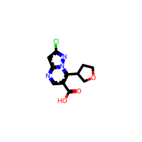 O=C(O)c1cnc2cc(Cl)nn2c1C1CCOC1